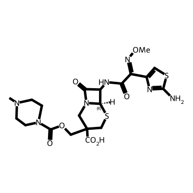 CON=C(C(=O)NC1C(=O)N2CC(COC(=O)N3CCN(C)CC3)(C(=O)O)CS[C@H]12)c1csc(N)n1